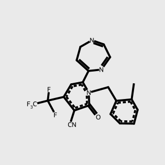 Cc1ccccc1Cn1c(C2=CCN=CC=N2)cc(C(F)(F)C(F)(F)F)c(C#N)c1=O